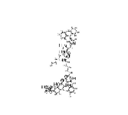 CCCCCCC(NC(=O)C(N)Cc1cn(C(c2ccccc2)c2ccccc2)cn1)C(=O)NCCCCCC(=O)NC(Cc1ccc(C)cc1)C(=O)NC(Cc1ccc(OS(=O)(=O)O)cc1)C(=O)O